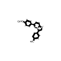 N#Cc1ccc(-c2cnc3ccc(-c4ccc(C=O)cc4)nn23)cc1